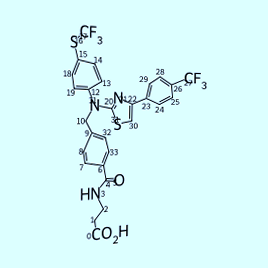 O=C(O)CCNC(=O)c1ccc(CN(c2ccc(SC(F)(F)F)cc2)c2nc(-c3ccc(C(F)(F)F)cc3)cs2)cc1